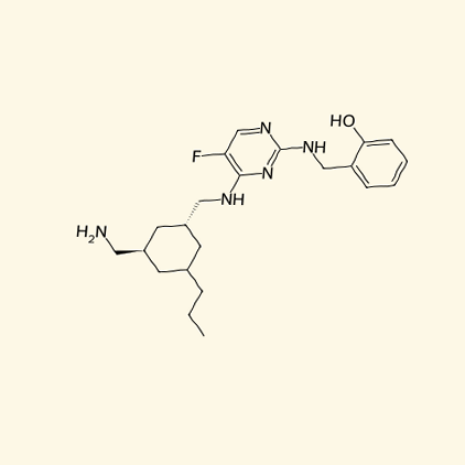 CCCC1C[C@@H](CN)C[C@H](CNc2nc(NCc3ccccc3O)ncc2F)C1